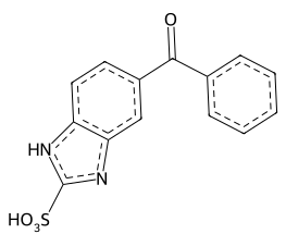 O=C(c1ccccc1)c1ccc2[nH]c(S(=O)(=O)O)nc2c1